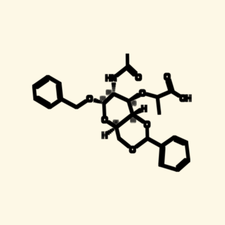 CC(=O)N[C@H]1[C@@H](OCc2ccccc2)O[C@@H]2COC(c3ccccc3)O[C@H]2[C@@H]1OC(C)C(=O)O